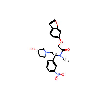 CN(C(=O)COc1ccc2ccoc2c1)[C@H](CN1CC[C@H](O)C1)c1cccc([N+](=O)[O-])c1